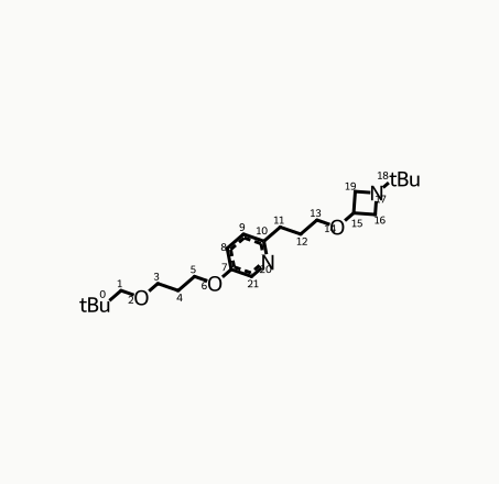 CC(C)(C)COCCCOc1ccc(CCCOC2CN(C(C)(C)C)C2)nc1